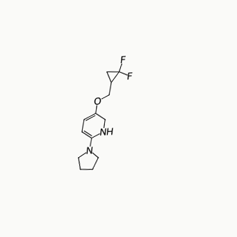 FC1(F)CC1COC1=CC=C(N2CCCC2)NC1